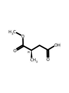 COC(=O)[C@H](C)CC(=O)O